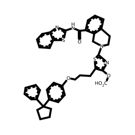 O=C(O)Oc1nc(N2CCc3cccc(C(=O)Nc4nc5ccccc5s4)c3C2)sc1CCCOc1ccc(C2(c3ccccc3)CCCC2)cc1